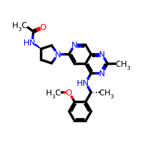 COc1ccccc1[C@@H](C)Nc1nc(C)nc2cnc(N3CC[C@@H](NC(C)=O)C3)cc12